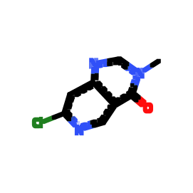 Cn1cnc2cc(Cl)ncc2c1=O